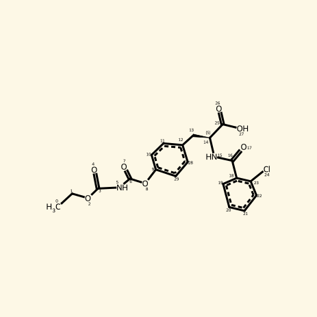 CCOC(=O)NC(=O)Oc1ccc(C[C@H](NC(=O)c2ccccc2Cl)C(=O)O)cc1